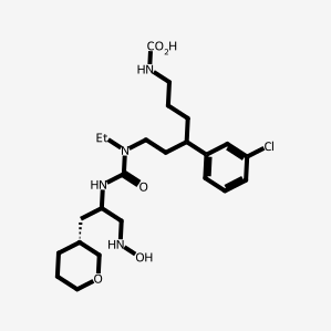 CCN(CCC(CCCNC(=O)O)c1cccc(Cl)c1)C(=O)NC(CNO)C[C@H]1CCCOC1